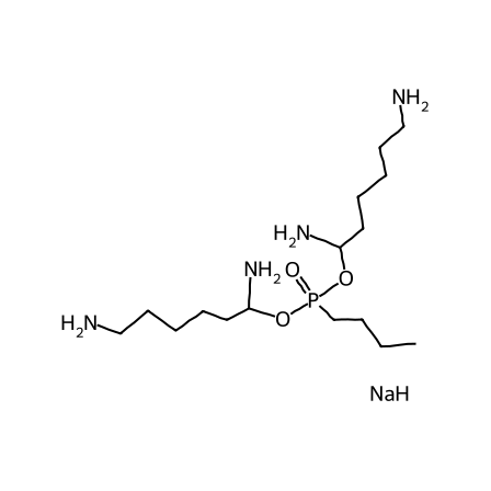 CCCCP(=O)(OC(N)CCCCCN)OC(N)CCCCCN.[NaH]